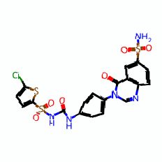 NS(=O)(=O)c1ccc2ncn(-c3ccc(NC(=O)NS(=O)(=O)c4ccc(Cl)s4)cc3)c(=O)c2c1